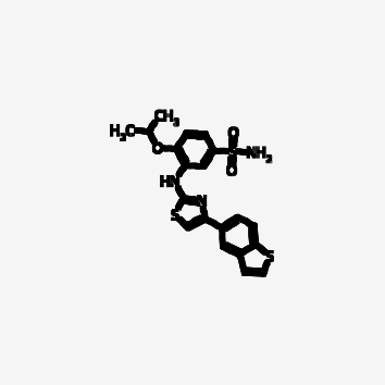 CC(C)Oc1ccc(S(N)(=O)=O)cc1Nc1nc(-c2ccc3sccc3c2)cs1